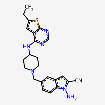 N#Cc1cc2cc(CN3CCC(Nc4ncnc5sc(CC(F)(F)F)cc45)CC3)ccc2n1N